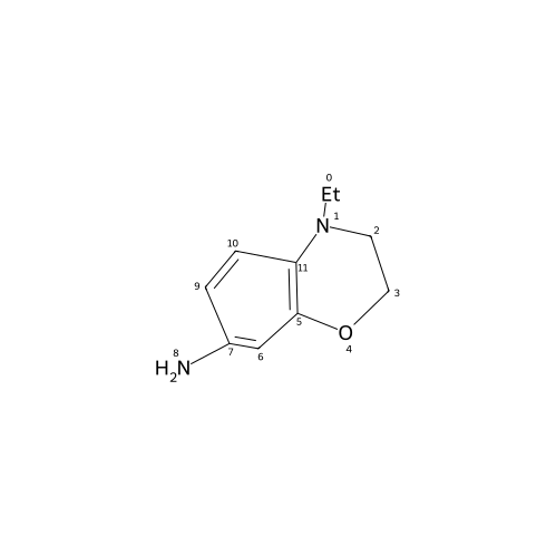 CCN1CCOc2cc(N)ccc21